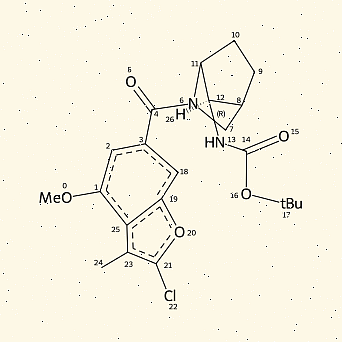 COc1cc(C(=O)N2CC3CCC2[C@@H]3NC(=O)OC(C)(C)C)cc2oc(Cl)c(C)c12